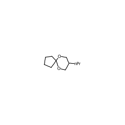 CCCC1COC2(CCCC2)OC1